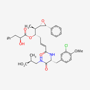 COc1ccc(C[C@@H](NC(=O)C=CC[C@H](OC(=O)[C@@H](O)CC(C)C)[C@@H](C)[C@@H]2O[C@@H]2c2ccccc2)C(=O)NC[C@H](C)C(=O)O)cc1Cl